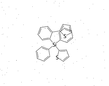 c1ccc([Si](c2ccccc2)(c2cccs2)c2ccccc2-c2cccs2)cc1